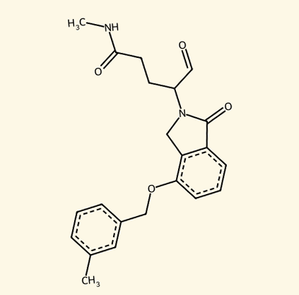 CNC(=O)CCC(C=O)N1Cc2c(OCc3cccc(C)c3)cccc2C1=O